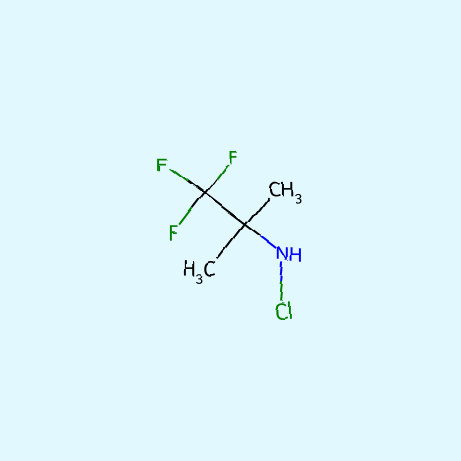 CC(C)(NCl)C(F)(F)F